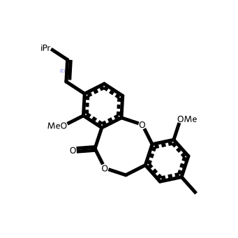 COc1cc(C)cc2c1Oc1ccc(/C=C/C(C)C)c(OC)c1C(=O)OC2